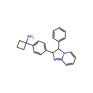 NC1(c2ccc(C3N=C4C=CC=CN4C3c3ccccc3)cc2)CCC1